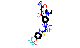 CCN(CC)c1cc2c(cc1C(=O)NCC(=O)N(C)C)nc(Nc1nc3ccc(OC(F)(F)F)cc3s1)n2C